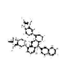 Cc1nc2ccc(-c3cccc4c(-c5ccc6ccccc6c5)c5cccc(-c6ccc7nc(C)n(C)c7c6)c5cc34)cc2n1C